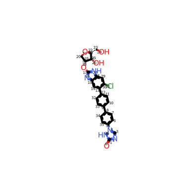 O=c1ncn(-c2ccc(-c3ccc(-c4cc5nc(O[C@@H]6CO[C@H](CO)[C@H]6O)[nH]c5cc4Cl)cc3)cc2)[nH]1